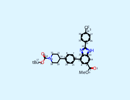 COC(=O)c1cc(-c2ccc(C3CCN(C(=O)OC(C)(C)C)CC3)cc2)c2nc(-c3ccc(C(F)(F)F)cc3)[nH]c2c1